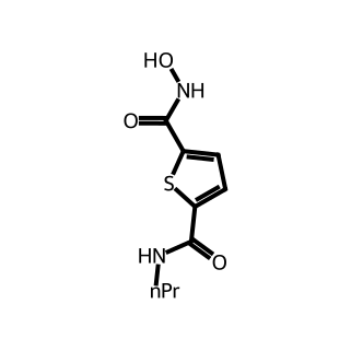 CCCNC(=O)c1ccc(C(=O)NO)s1